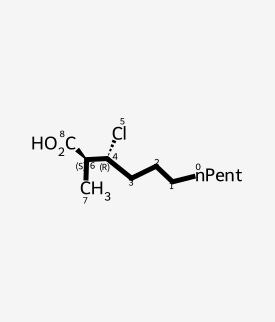 CCCCCCCC[C@@H](Cl)[C@@H](C)C(=O)O